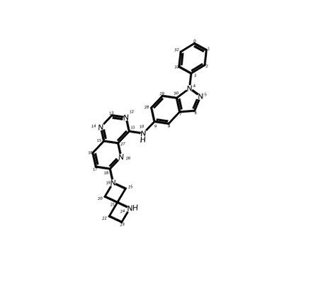 c1ccc(-n2ncc3cc(Nc4ncnc5ccc(N6CC7(CCN7)C6)nc45)ccc32)cc1